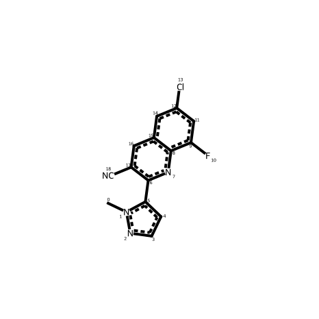 Cn1nccc1-c1nc2c(F)cc(Cl)cc2cc1C#N